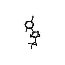 Cc1ccc(F)cc1-c1noc(C2CC2(C)C)n1